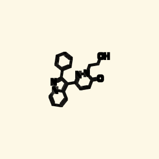 O=c1ccc(-c2c(-c3ccccc3)nn3ccccc23)nn1CCO